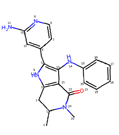 CC1Cc2[nH]c(-c3ccnc(N)c3)c(Nc3ccccc3)c2C(=O)N1C